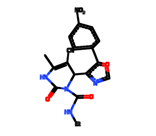 CCNC(=O)N1C(=O)NC(C)=C(C#N)C1c1ncoc1-c1ccc([N+](=O)[O-])cc1